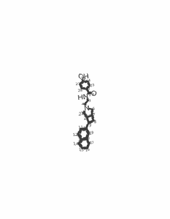 O=C(NCCN1CC2CC(c3ccc4ccccc4c3)C2C1)c1ccc(O)cc1